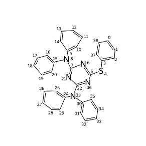 c1ccc(Sc2nc(N(c3ccccc3)c3ccccc3)nc(N(c3ccccc3)c3ccccc3)n2)cc1